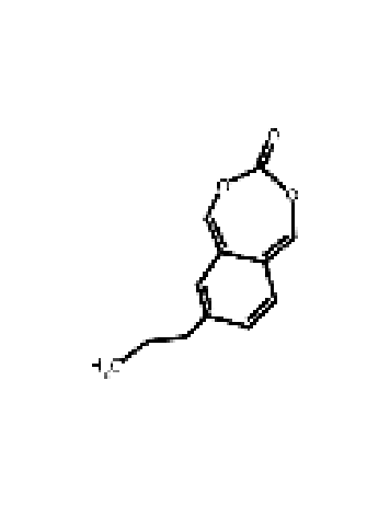 CCCc1ccc2c(c1)=COC(=O)OC=2